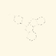 Brc1ccc(-c2cc3ccccc3c3c2sc2ccccc23)cc1